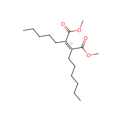 CCCCCC/C(C(=O)OC)=C(\CCCCC)C(=O)OC